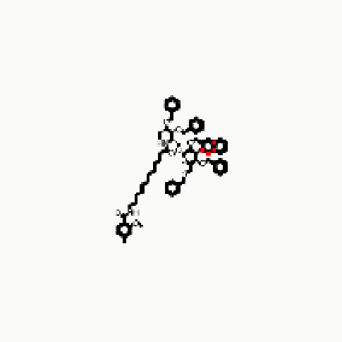 CC[C@@H](OCc1ccccc1)[C@@H](OCc1ccccc1)[C@H](CO[C@H]1OC(COCc2ccccc2)[C@H](OCc2ccccc2)C(OCc2ccccc2)C1OCc1ccccc1)NC(=O)CCCCCCCCCCCNC(=O)c1ccc(C)cc1OC